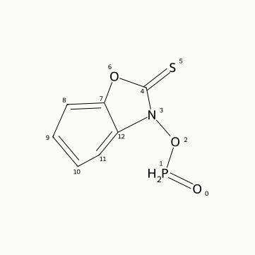 O=[PH2]On1c(=S)oc2ccccc21